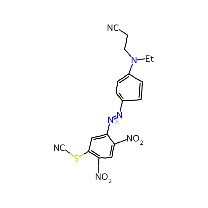 CCN(CCC#N)c1ccc(/N=N/c2cc(SC#N)c([N+](=O)[O-])cc2[N+](=O)[O-])cc1